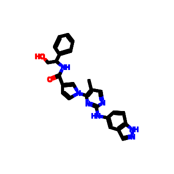 Cc1cnc(Nc2ccc3[nH]ncc3c2)nc1-n1ccc(C(=O)NC(CO)c2ccccc2)c1